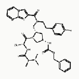 C[C@@H](C(=O)N[C@H](C(=O)N1C[C@@H](NC(=O)OCc2ccccc2)C[C@H]1CN(CCc1ccc(F)cc1)C(=O)c1cn2cccnc2n1)C(C)(C)C)N(C)C